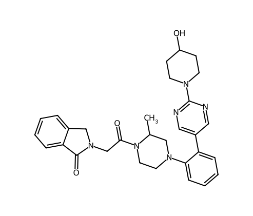 CC1CN(c2ccccc2-c2cnc(N3CCC(O)CC3)nc2)CCN1C(=O)CN1Cc2ccccc2C1=O